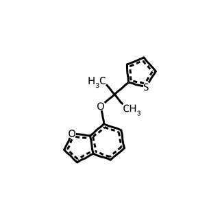 CC(C)(Oc1cccc2ccoc12)c1cccs1